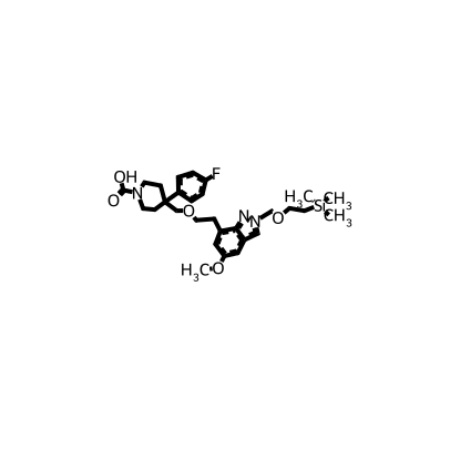 COc1cc(CCOCC2(c3ccc(F)cc3)CCN(C(=O)O)CC2)c2nn(COCC[Si](C)(C)C)cc2c1